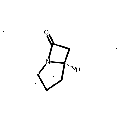 O=C1C[C@H]2CCCN12